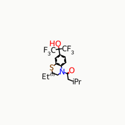 CC[C@H]1CN(C(=O)CC(C)C)c2ccc(C(O)(C(F)(F)F)C(F)(F)F)cc2S1